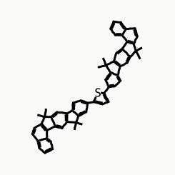 CC1(C)c2cc(-c3ccc(-c4ccc5c(c4)C(C)(C)c4cc6c(cc4-5)C(C)(C)c4ccc5ccccc5c4-6)s3)ccc2-c2cc3c(cc21)-c1c(ccc2ccccc12)C3(C)C